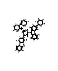 C1=Cc2c(n(-c3nc(-c4ccc5c(c4)sc4ccccc45)nc(-n4c5ccccc5c5cc(-c6ccccc6)ccc54)n3)c3ccccc23)CC1